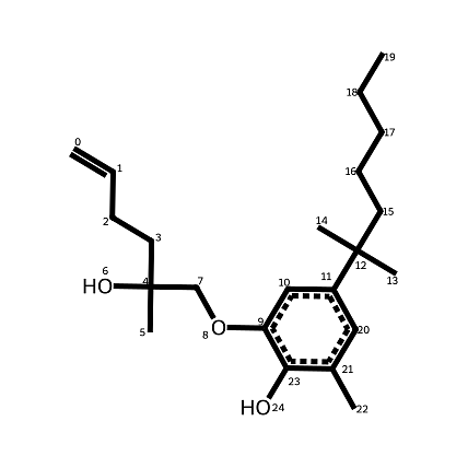 C=CCCC(C)(O)COc1cc(C(C)(C)CCCCC)cc(C)c1O